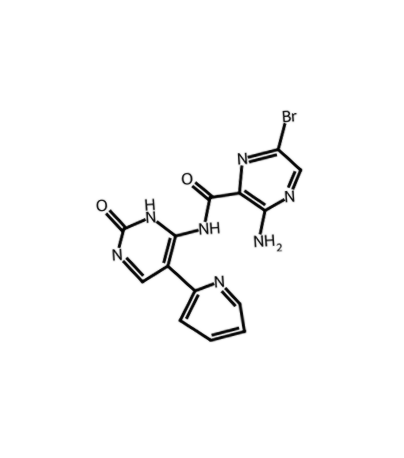 Nc1ncc(Br)nc1C(=O)Nc1[nH]c(=O)ncc1-c1ccccn1